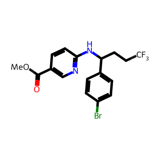 COC(=O)c1ccc(NC(CCC(F)(F)F)c2ccc(Br)cc2)nc1